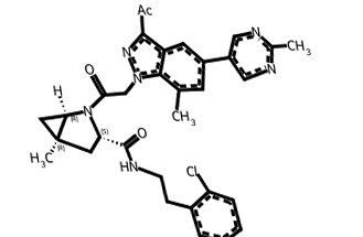 CC(=O)c1nn(CC(=O)N2[C@H](C(=O)NCCc3ccccc3Cl)C[C@@]3(C)C[C@@H]23)c2c(C)cc(-c3cnc(C)nc3)cc12